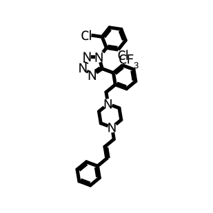 FC(F)(F)c1cccc(CN2CCN(CC=Cc3ccccc3)CC2)c1-c1nnnn1-c1c(Cl)cccc1Cl